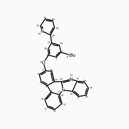 CC(C)(C)c1cc(Oc2ccc3c4ccccc4n4c5ccccc5nc4c3c2)cc(-c2ccccn2)c1